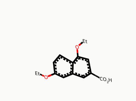 CCOc1ccc2c(OCC)cc(C(=O)O)cc2c1